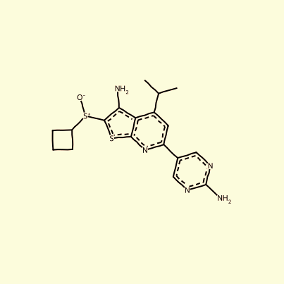 CC(C)c1cc(-c2cnc(N)nc2)nc2sc([S+]([O-])C3CCC3)c(N)c12